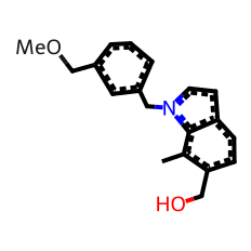 COCc1cccc(Cn2ccc3ccc(CO)c(C)c32)c1